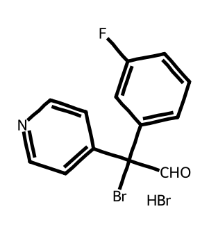 Br.O=CC(Br)(c1ccncc1)c1cccc(F)c1